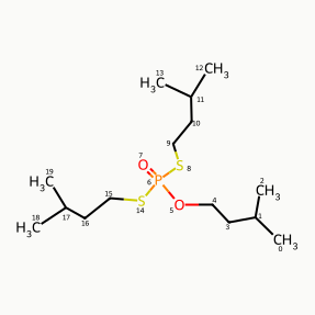 CC(C)CCOP(=O)(SCCC(C)C)SCCC(C)C